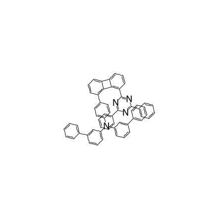 c1ccc(-c2cccc(N(c3ccc(-c4cccc5c4-c4c(-c6nc(-c7ccccc7)nc(-c7ccccc7)n6)cccc4-5)cc3)c3cccc(-c4ccccc4)c3)c2)cc1